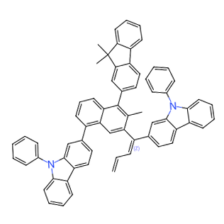 C=C/C=C(/c1ccc2c3ccccc3n(-c3ccccc3)c2c1)c1cc2c(-c3ccc4c5ccccc5n(-c5ccccc5)c4c3)cccc2c(-c2ccc3c(c2)C(C)(C)c2ccccc2-3)c1C